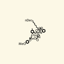 CCCCCCCCCCCCCCCCCCN1C(C(C(=O)Nc2cc(C)ccc2OCCCOc2ccc(OC)cc2)n2cnc(C(=O)OC)c2)=Nc2ccccc2S1(=O)=O